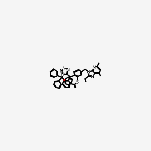 C=C1Sc2cc(Cn3c(CC)nc4c(C)cc(C)nc43)ccc2C(c2nnnn2C(c2ccccc2)(c2ccccc2)c2ccccc2)c2ccccc21